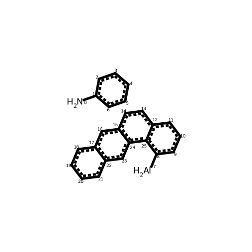 Nc1ccccc1.[AlH2][c]1cccc2ccc3cc4ccccc4cc3c12